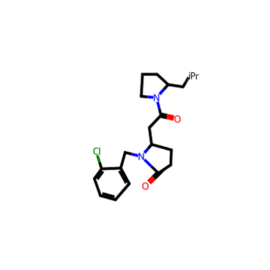 CC(C)CC1CCCN1C(=O)CC1CCC(=O)N1Cc1ccccc1Cl